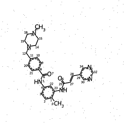 Cc1ccc(NC(=O)c2ccc(CN3CCN(C)CC3)cc2)cc1NC(=O)C=Cc1cncnc1